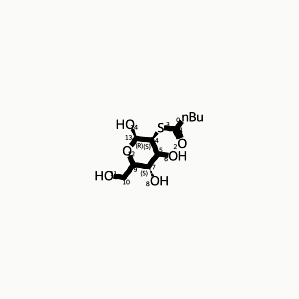 CCCCC(=O)S[C@H]1C(O)[C@H](O)C(CO)O[C@H]1O